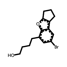 OCCCCc1cc(Br)cc2c3c(oc12)CCC3